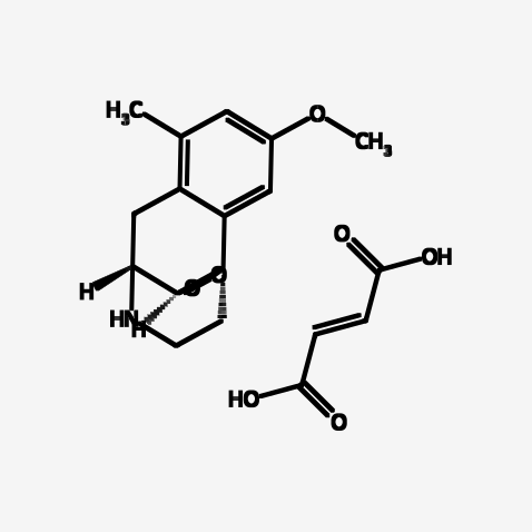 COc1cc(C)c2c(c1)[C@]13CCN[C@H](C2)[C@@H]1OCOC3.O=C(O)/C=C/C(=O)O